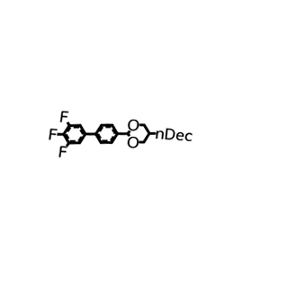 CCCCCCCCCCC1COC(c2ccc(-c3cc(F)c(F)c(F)c3)cc2)OC1